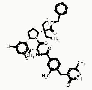 CC[C@@H](NC(=O)c1ccc(Cc2cc(C)n[nH]c2=O)c(C)c1)C(=O)N1[C@H](c2cc(F)cc(Cl)c2)CC[C@@H]1C(CC)(CC)C(=O)OCc1ccccc1